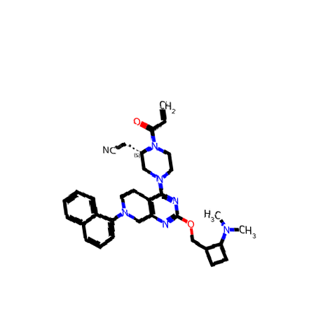 C=CC(=O)N1CCN(c2nc(OCC3CCC3N(C)C)nc3c2CCN(c2cccc4ccccc24)C3)C[C@@H]1CC#N